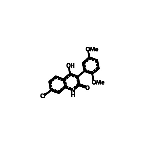 COc1ccc(OC)c(-c2c(O)c3ccc(Cl)cc3[nH]c2=O)c1